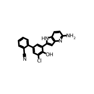 N#Cc1ccccc1-c1cc(Cl)c(O)c(-c2cc3nc(N)ccc3[nH]2)c1